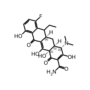 CCC1c2c(F)ccc(O)c2C(=O)C2=C(O)[C@]3(O)C(=O)C(C(N)=O)=C(O)[C@@H](N(C)C)[C@@H]3C[C@@H]21